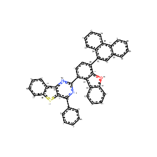 c1ccc(-c2nc(-c3ccc(-c4cc5ccccc5c5ccccc45)c4oc5ccccc5c34)nc3c2sc2ccccc23)cc1